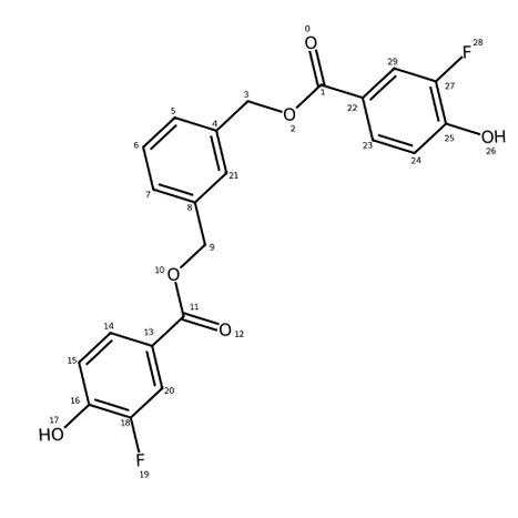 O=C(OCc1cccc(COC(=O)c2ccc(O)c(F)c2)c1)c1ccc(O)c(F)c1